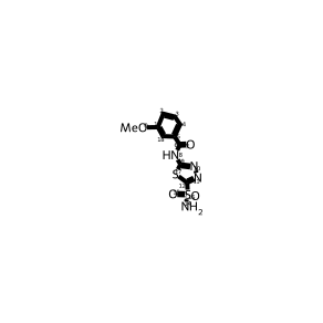 COc1cccc(C(=O)Nc2nnc(S(N)(=O)=O)s2)c1